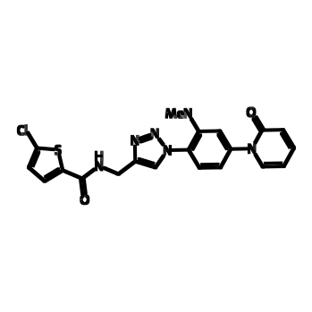 CNc1cc(-n2ccccc2=O)ccc1-n1cc(CNC(=O)c2ccc(Cl)s2)nn1